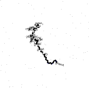 CCCCC/C=C\C/C=C\C/C=C\CCCCC(=O)SCCNC(=O)CCNC(=O)[C@H](O)C(C)(C)COP(=O)(O)OP(=O)(O)OC[C@H]1O[C@@H](n2cnc3c(N)ncnc32)[C@H](O)[C@@H]1OP(=O)(O)O